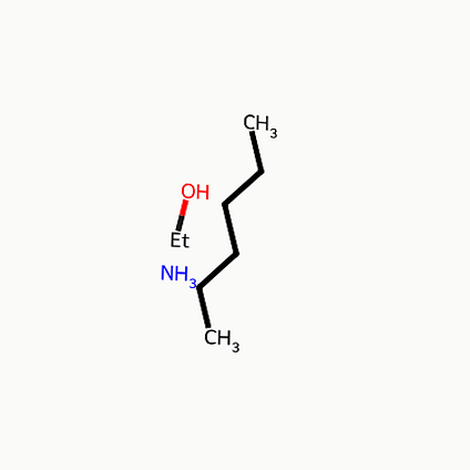 CCCCCC.CCO.N